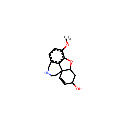 COc1ccc2c3c1OC1CC(O)C=CC31CCNC2